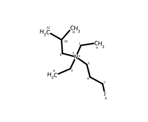 CC[N+](CC)(CCCI)CC(C)C